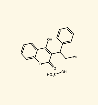 CC(=O)CC(c1ccccc1)c1c(O)c2ccccc2oc1=O.O=S(=O)(O)O